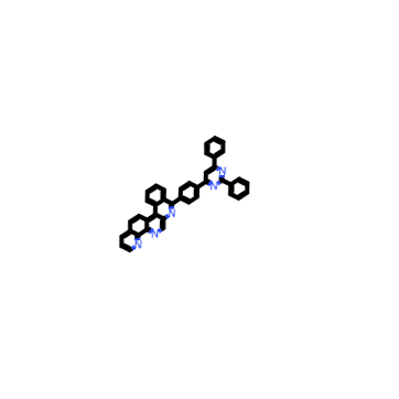 c1ccc(-c2cc(-c3ccc(-c4nc5cnc6c(ccc7cccnc76)c5c5ccccc45)cc3)nc(-c3ccccc3)n2)cc1